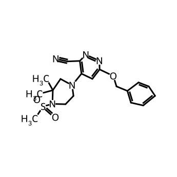 CC1(C)CN(c2cc(OCc3ccccc3)nnc2C#N)CCN1S(C)(=O)=O